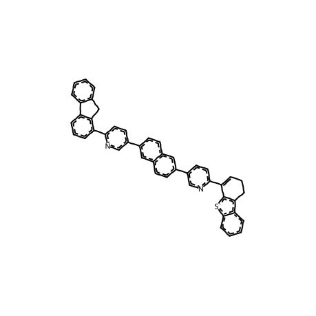 C1=C(c2ccc(-c3ccc4cc(-c5ccc(-c6cccc7c6Cc6ccccc6-7)nc5)ccc4c3)cn2)c2sc3ccccc3c2CC1